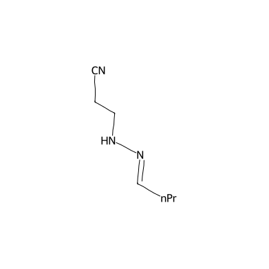 CCCC=NNCCC#N